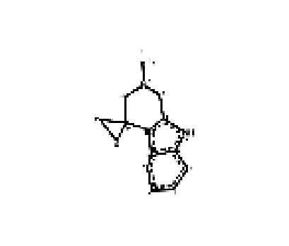 CN1Cc2[nH]c3ccccc3c2C2(CC2)C1